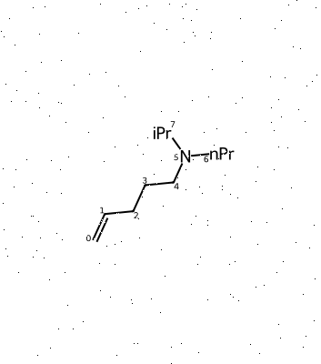 C=CCCCN(CCC)C(C)C